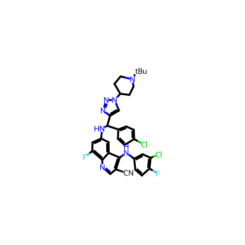 CC(C)(C)N1CCC(n2cc(C(Nc3cc(F)c4ncc(C#N)c(Nc5ccc(F)c(Cl)c5)c4c3)c3ccc(Cl)cc3)nn2)CC1